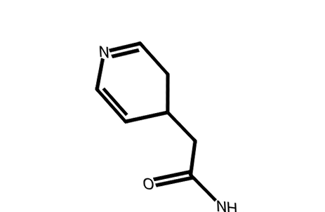 NC(=O)CC1C=CN=CC1